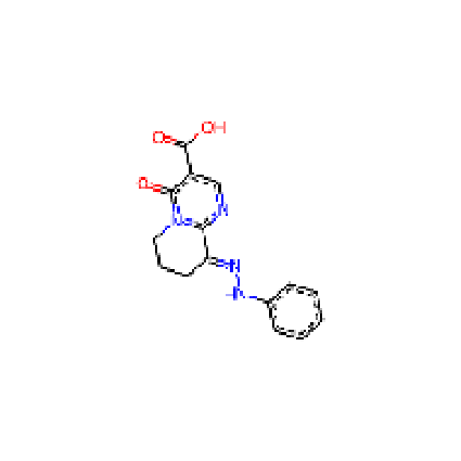 O=C(O)c1cnc2n(c1=O)CCC/C2=N\Nc1ccccc1